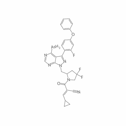 N#CC(=CC1CC1)C(=O)N1CC(F)(F)CC1Cn1nc(-c2ccc(Oc3ccccc3)cc2F)c2c([AsH2])ncnc21